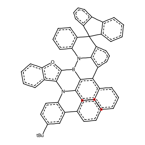 CC(C)(C)c1ccc(N2c3cc4ccccc4c4c3B(c3oc5ccccc5c32)N2c3ccccc3C3(c5ccccc5-c5ccccc53)c3cccc-4c32)c(-c2ccccc2)c1